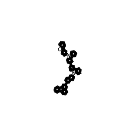 c1ccc2c(c1)-c1cccc3cc(-c4ccc5cc(-n6c7ccccc7c7cc(-c8ccc9c(c8)c8ccccc8n9-c8ccc9oc%10ccccc%10c9c8)ccc76)ccc5c4)cc-2c13